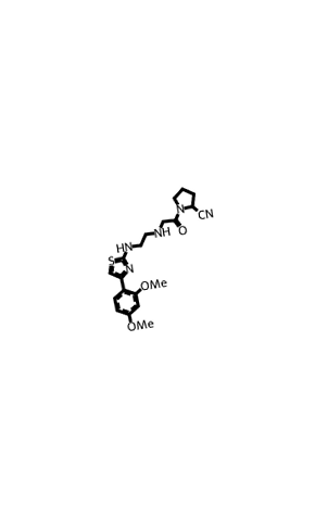 COc1ccc(-c2csc(NCCNCC(=O)N3CCCC3C#N)n2)c(OC)c1